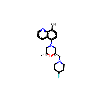 C[C@@H]1CN(c2ccc(C#N)c3ncccc23)C[C@@H](CN2CCC(F)CC2)O1